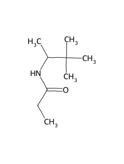 CCC(=O)NC(C)C(C)(C)C